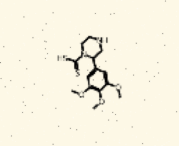 COc1cc(C2CNCCN2C(=S)S)cc(OC)c1OC